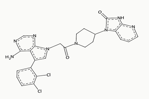 Nc1ncnc2c1c(-c1cccc(Cl)c1Cl)cn2CC(=O)N1CCC(n2c(=O)[nH]c3ncccc32)CC1